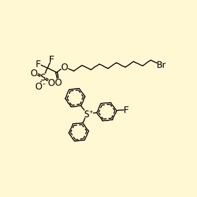 Fc1ccc([S+](c2ccccc2)c2ccccc2)cc1.O=C(OCCCCCCCCCCBr)C(F)(F)S(=O)(=O)[O-]